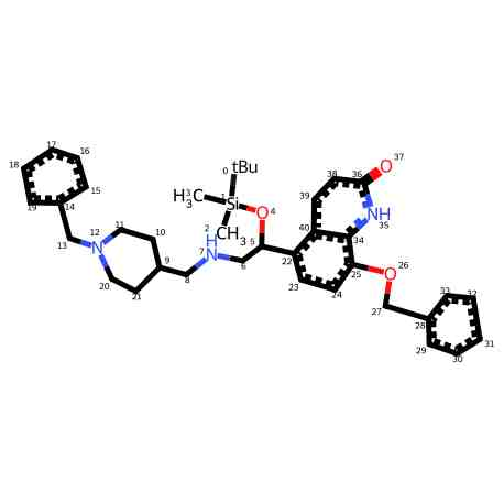 CC(C)(C)[Si](C)(C)OC(CNCC1CCN(Cc2ccccc2)CC1)c1ccc(OCc2ccccc2)c2[nH]c(=O)ccc12